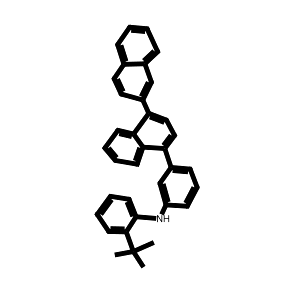 CC(C)(C)c1ccccc1Nc1cccc(-c2ccc(-c3ccc4ccccc4c3)c3ccccc23)c1